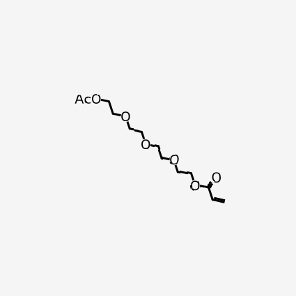 C=CC(=O)OCCOCCOCCOCCOC(C)=O